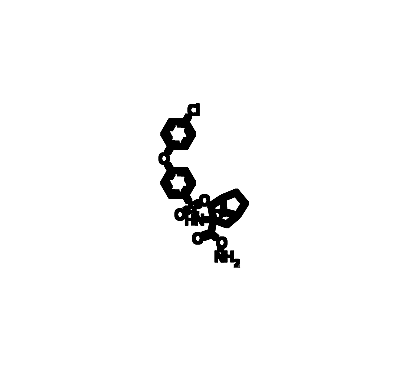 NOC(=O)C1(NS(=O)(=O)c2ccc(Oc3ccc(Cl)cc3)cc2)CC2CCC(C1)C2=O